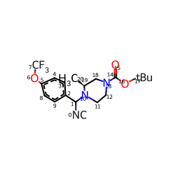 [C-]#[N+]C(c1ccc(OC(F)(F)F)cc1)N1CCN(C(=O)OC(C)(C)C)C[C@@H]1C